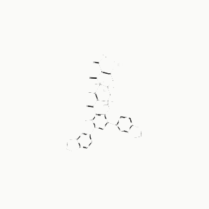 NC(=O)C1=C(O)C[C@@H]2C[C@@H]3Cc4c(-c5ccc6c(c5)OCO6)cc(-c5ccc6c(c5)OCO6)c(O)c4C(=O)C3=C(O)[C@]2(O)C1=O